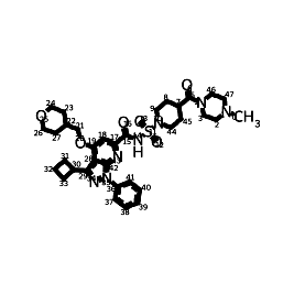 CN1CCN(C(=O)C2CCN(S(=O)(=O)NC(=O)c3cc(OCC4CCOCC4)c4c(C5CCC5)nn(-c5ccccc5)c4n3)CC2)CC1